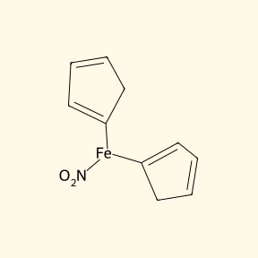 O=[N+]([O-])[Fe]([C]1=CC=CC1)[C]1=CC=CC1